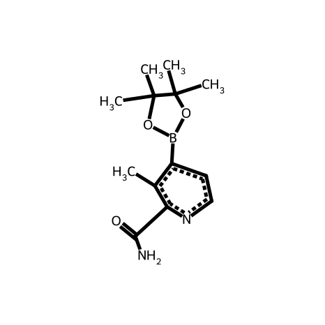 Cc1c(B2OC(C)(C)C(C)(C)O2)ccnc1C(N)=O